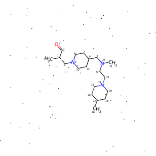 CC(C=O)CN1CCC(CN(C)CCN2CCC(C)CC2)CC1